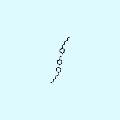 CCCCCCc1ccc(CCC2=CCC([C@H]3CC[C@H](CCCCCC)CC3)CC2)cc1